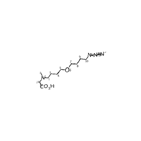 CN(CCCCOCCCCN=[N+]=[N-])CC(=O)O